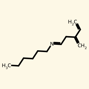 C=CC(=C)CC=NCCCCCC